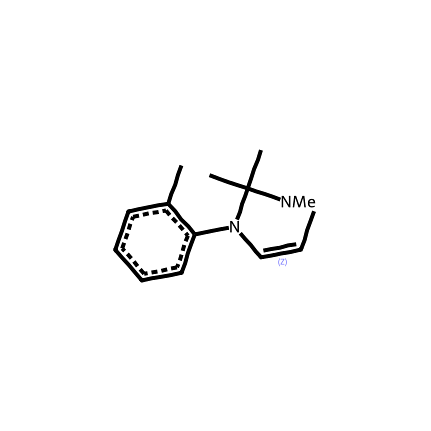 C/C=C\N(c1ccccc1C)C(C)(C)NC